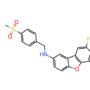 CS(=O)(=O)c1ccc(CNc2ccc3oc4ccc(F)cc4c3c2)cc1